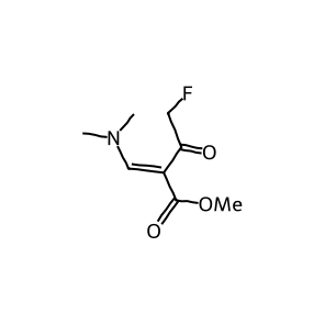 COC(=O)C(=CN(C)C)C(=O)CF